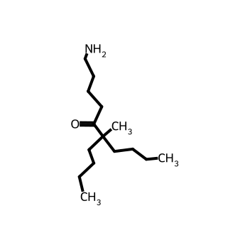 CCCCC(C)(CCCC)C(=O)CCCCN